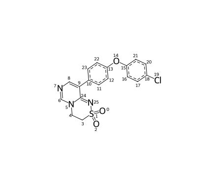 O=S1(=O)CCN2C=NC=C(c3ccc(Oc4ccc(Cl)cc4)cc3)C2=N1